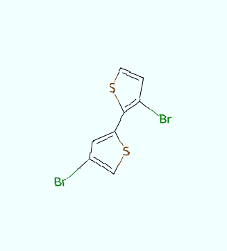 Brc1csc(-c2sccc2Br)c1